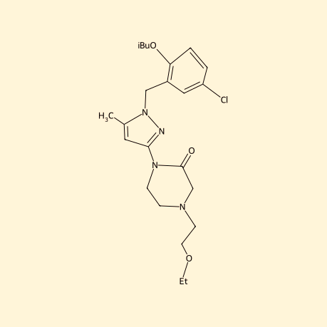 CCOCCN1CCN(c2cc(C)n(Cc3cc(Cl)ccc3OCC(C)C)n2)C(=O)C1